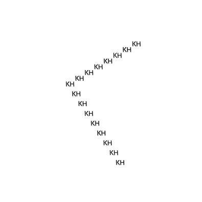 [KH].[KH].[KH].[KH].[KH].[KH].[KH].[KH].[KH].[KH].[KH].[KH].[KH].[KH].[KH].[KH]